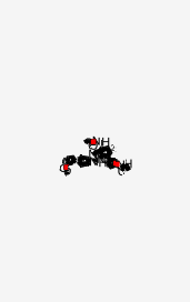 C=CC(=O)Nc1cccc(-c2cccc3cnc(Nc4ccc(N5CCN(C)C(C(=O)OC)C5)cc4)nc23)c1.C=CC(N)=O